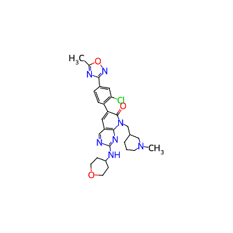 Cc1nc(-c2ccc(-c3cc4cnc(NC5CCOCC5)nc4n(CC4CCCN(C)C4)c3=O)c(Cl)c2)no1